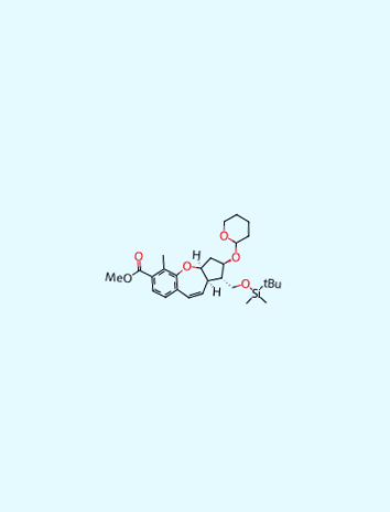 COC(=O)c1ccc2c(c1C)O[C@H]1C[C@@H](OC3CCCCO3)[C@H](CO[Si](C)(C)C(C)(C)C)[C@H]1C=C2